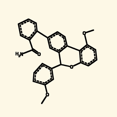 COc1cccc(C2Oc3cccc(OC)c3-c3ccc(-c4ccccc4C(N)=O)cc32)c1